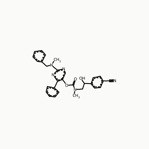 CN(CC(O)c1ccc(C#N)cc1)C(=O)Oc1cnc(N(C)Cc2ccccc2)nc1-c1ccccc1